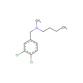 CCCCN(C)Cc1ccc(Cl)c(Cl)c1